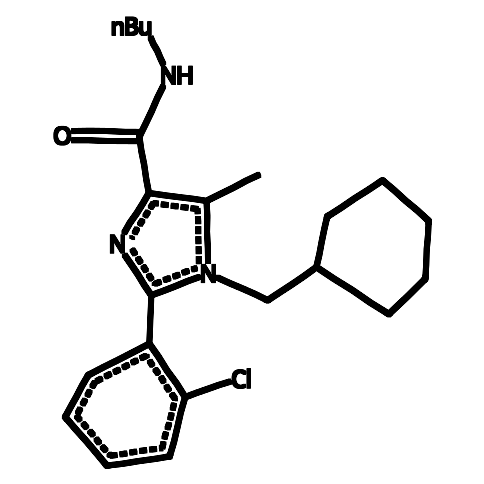 CCCCNC(=O)c1nc(-c2ccccc2Cl)n(CC2CCCCC2)c1C